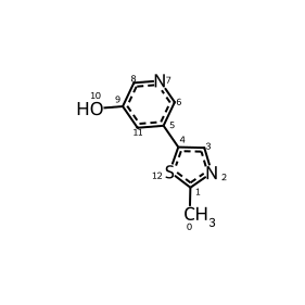 Cc1ncc(-c2cncc(O)c2)s1